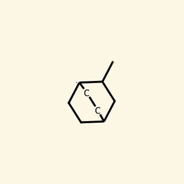 CC1CC2CC[C]1CC2